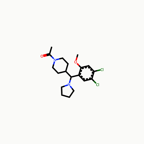 COc1cc(Cl)c(Cl)cc1C(C1CCN(C(C)=O)CC1)N1CCCC1